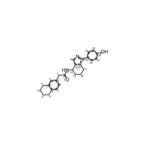 O=C(Cc1ccc2c(c1)CCCC2)NC1CCCc2c1cnn2-c1ccc(O)cc1